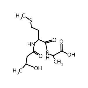 CSCCC(NC(=O)CC(C)O)C(=O)NC(C)C(=O)O